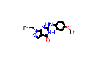 CCOc1ccc(Nc2nc3c(cnn3CC(C)C)c(=O)[nH]2)cc1